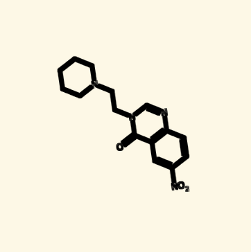 O=c1c2cc([N+](=O)[O-])ccc2ncn1CCN1CCCCC1